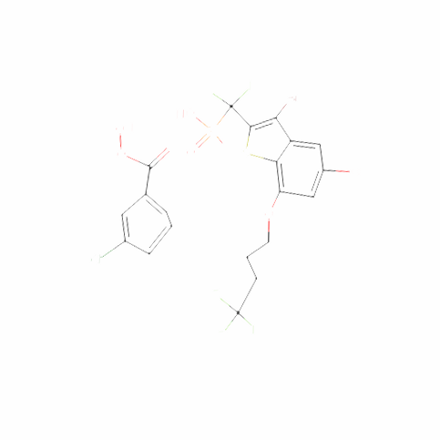 O=C(OO)c1cccc(Cl)c1.O=P(O)(O)C(F)(F)c1sc2c(OCCCC(F)(F)F)cc(O)cc2c1Br